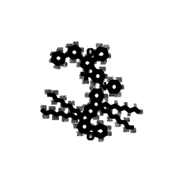 CCCCCCCCC1(CCCCCCCC)c2cc(N(c3ccccc3)c3ccc4c(c3)C(C)(C)c3cc(-c5cccc(-c6ccccc6)c5)c5oc6ccccc6c5c3-4)ccc2-c2cc3c(cc21)-c1c(ccc2oc4ccccc4c12)C3(CCCCCCCC)CCCCCCCC